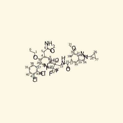 CCOc1c(CC(N)=O)cc([C@@](O)(CNC(=O)c2cc(OC)c3nn(C4CC4)cc3c2)C(F)(F)F)nc1-c1cccc(Cl)c1Cl